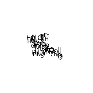 CC[C@@H]1C[C@]1(NC(=O)[C@@H]1C[C@@H](Oc2cc(-c3csc(NC(C)C)n3)nc3c(Cl)c(OC[C@H]4COCCN4)ccc23)CN1C(=O)[C@@H](NC(=O)O[C@@H]1C[C@@H]2C[C@@H]2C1)C(C)(C)C)C(=O)O